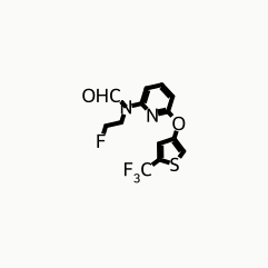 O=CN(CCF)c1cccc(Oc2csc(C(F)(F)F)c2)n1